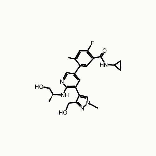 Cc1cc(F)c(C(=O)NC2CC2)cc1-c1cnc(N[C@@H](C)CO)c(-c2cn(C)nc2CO)c1